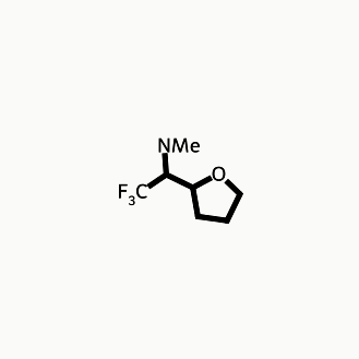 CNC(C1CCCO1)C(F)(F)F